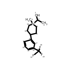 CC(O)[N+]1(C)CCC(c2cccc(C(F)(F)F)c2)CC1